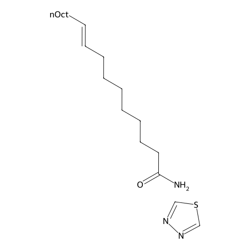 CCCCCCCCC=CCCCCCCCC(N)=O.c1nncs1